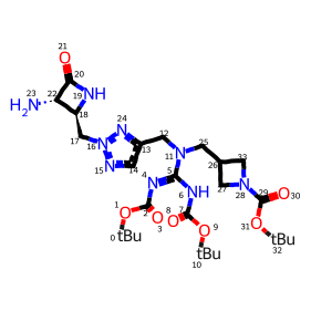 CC(C)(C)OC(=O)N=C(NC(=O)OC(C)(C)C)N(Cc1cnn(C[C@@H]2NC(=O)[C@H]2N)n1)CC1CN(C(=O)OC(C)(C)C)C1